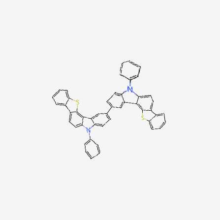 c1ccc(-n2c3ccc(-c4ccc5c(c4)c4c6sc7ccccc7c6ccc4n5-c4ccccc4)cc3c3c4sc5ccccc5c4ccc32)cc1